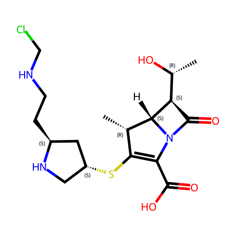 C[C@@H](O)[C@H]1C(=O)N2C(C(=O)O)=C(S[C@@H]3CN[C@@H](CCNCCl)C3)[C@H](C)[C@H]12